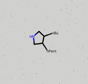 [CH2]CCCC1CNCC1CCCCC